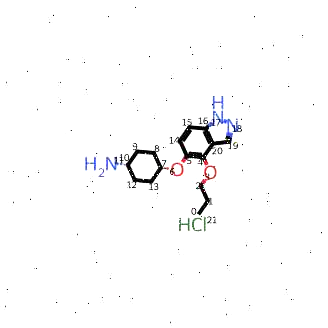 CCCOc1c(O[C@H]2CC[C@@H](N)CC2)ccc2[nH]ncc12.Cl